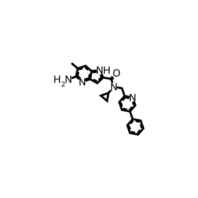 Cc1cc2[nH]c(C(=O)N(Cc3ccc(-c4ccccc4)cn3)C3CC3)cc2nc1N